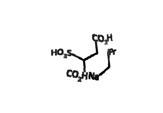 CC(C)[CH2][Na].O=C(O)CC(C(=O)O)S(=O)(=O)O